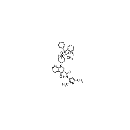 Cc1cc(NC(=O)c2cn([C@H]3CC[C@H](O[Si](c4ccccc4)(c4ccccc4)C(C)(C)C)CC3)c3ncccc3c2=O)n(C)n1